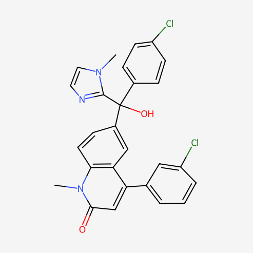 Cn1ccnc1C(O)(c1ccc(Cl)cc1)c1ccc2c(c1)c(-c1cccc(Cl)c1)cc(=O)n2C